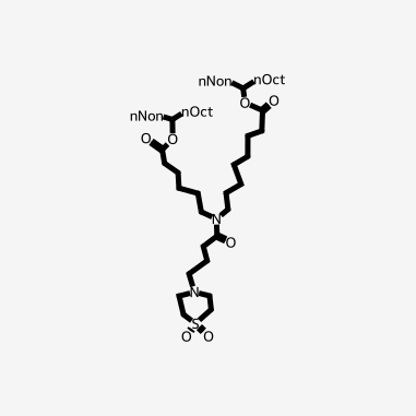 CCCCCCCCCC(CCCCCCCC)OC(=O)CCCCCCCN(CCCCCC(=O)OC(CCCCCCCC)CCCCCCCCC)C(=O)CCCN1CCS(=O)(=O)CC1